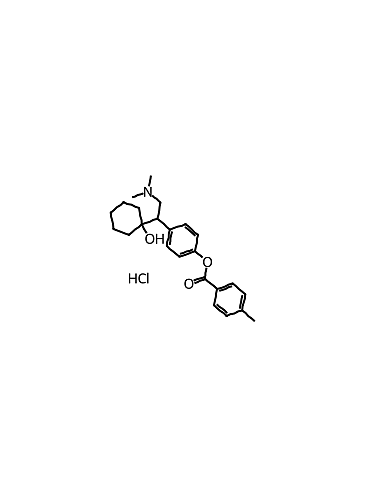 Cc1ccc(C(=O)Oc2ccc(C(CN(C)C)C3(O)CCCCC3)cc2)cc1.Cl